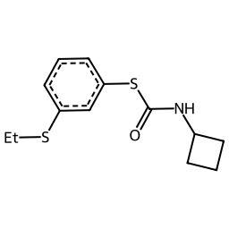 CCSc1cccc(SC(=O)NC2CCC2)c1